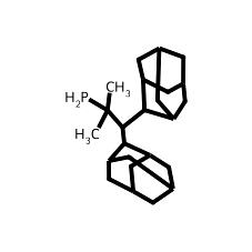 CC(C)(P)C(C1C2CC3CC(C2)CC1C3)C1C2CC3CC(C2)CC1C3